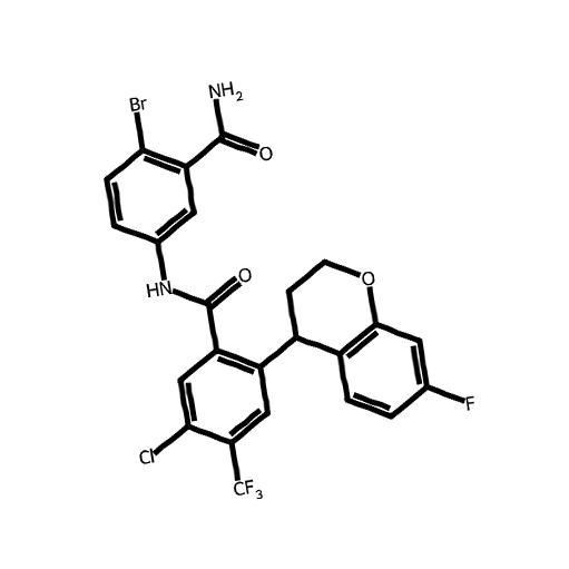 NC(=O)c1cc(NC(=O)c2cc(Cl)c(C(F)(F)F)cc2C2CCOc3cc(F)ccc32)ccc1Br